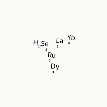 [Dy].[La].[Ru].[SeH2].[Yb]